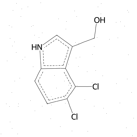 OCc1c[nH]c2ccc(Cl)c(Cl)c12